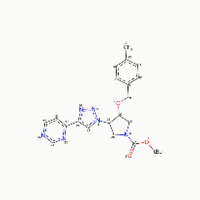 CC(C)(C)OC(=O)N1CC(OCc2ccc(C(F)(F)F)cc2)C(n2cc(-c3ccncn3)nn2)C1